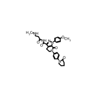 CNCCC(=O)NC(=O)c1nn(-c2ccc(OC)cc2)c2c1CCN(c1ccc(N3CCCCC3=O)cc1)C2=O